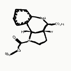 CC(C)(C)OC(=O)N1CC[C@H]2C(C(=O)O)Nc3ccccc3[C@H]21